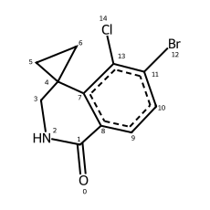 O=C1NCC2(CC2)c2c1ccc(Br)c2Cl